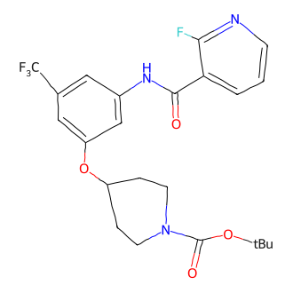 CC(C)(C)OC(=O)N1CCC(Oc2cc(NC(=O)c3cccnc3F)cc(C(F)(F)F)c2)CC1